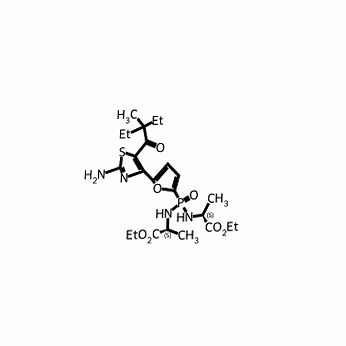 CCOC(=O)[C@H](C)NP(=O)(N[C@@H](C)C(=O)OCC)c1ccc(-c2nc(N)sc2C(=O)C(C)(CC)CC)o1